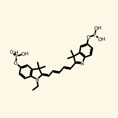 CCN1/C(=C/C=C/C=C/C2=Nc3ccc(OP(O)O)cc3C2(C)C)C(C)(C)c2cc(O[PH](=O)O)ccc21